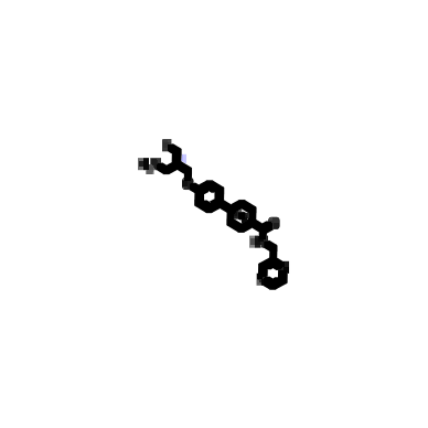 NC/C(=C\F)COc1ccc(C23CCC(C(=O)NCc4cnccn4)(CC2)CC3)cc1